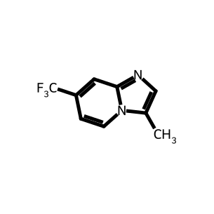 Cc1cnc2cc(C(F)(F)F)ccn12